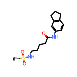 CC(C)S(=O)(=O)NCCCCC(=O)Nc1ccc2c(c1)CCC2